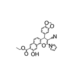 CCOC(=O)c1cc2ccc3c(c2cc1O)OC(n1cccc1)=C(C#N)C3c1ccc2c(c1)OCO2